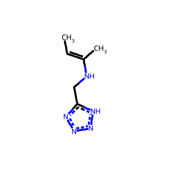 CC=C(C)NCc1nnn[nH]1